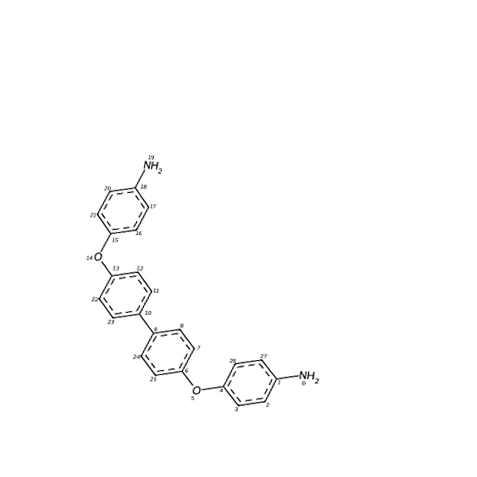 Nc1ccc(Oc2ccc(-c3ccc(Oc4ccc(N)cc4)cc3)cc2)cc1